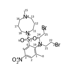 Cc1cc([N+](=O)[O-])cc(S(=O)(=O)N2CCCN(C)CCC2)c1N(CCBr)CCBr